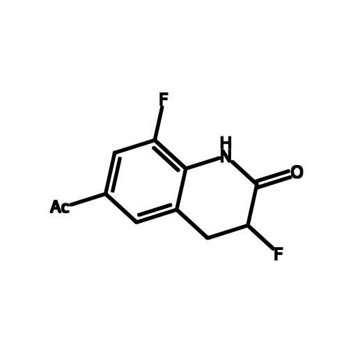 CC(=O)c1cc(F)c2c(c1)CC(F)C(=O)N2